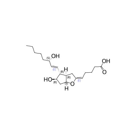 CCCCC[C@H](O)/C=C/[C@@H]1[C@H]2C/C(=C\CCCC(=O)O)O[C@H]2C[C@H]1O